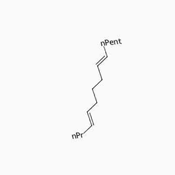 [CH2]CCCCC=CCCCC=CCCC